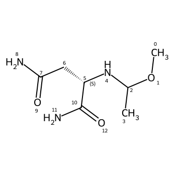 COC(C)N[C@@H](CC(N)=O)C(N)=O